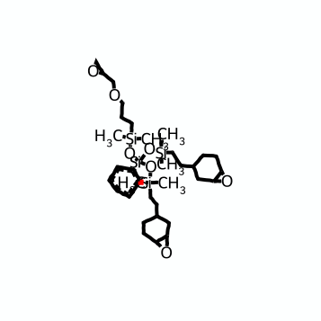 C[Si](C)(CCCOCC1CO1)O[Si](O[Si](C)(C)CCC1CCC2OC2C1)(O[Si](C)(C)CCC1CCC2OC2C1)c1ccccc1